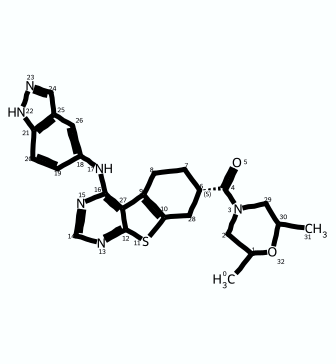 CC1CN(C(=O)[C@H]2CCc3c(sc4ncnc(Nc5ccc6[nH]ncc6c5)c34)C2)CC(C)O1